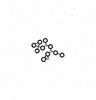 c1ccc(-c2ccc(N(c3cccc(N(c4ccccc4)c4cccc(C5(c6ccccc6)c6ccccc6-c6ccccc65)c4)c3)c3ccc4c(c3)oc3ccccc34)cc2)cc1